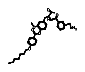 CCCCCCCOc1ccc(C(=O)Oc2ccc(CC(NC(=O)c3cccc(CN)c3)C(C)=O)cc2OC)cc1